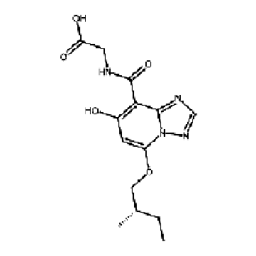 CC[C@H](C)COc1cc(O)c(C(=O)NCC(=O)O)c2ncnn12